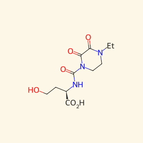 CCN1CCN(C(=O)N[C@H](CCO)C(=O)O)C(=O)C1=O